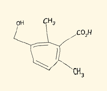 Cc1ccc(CO)c(C)c1C(=O)O